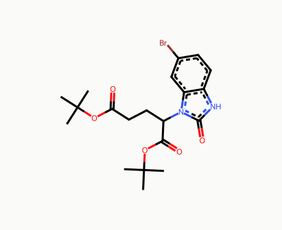 CC(C)(C)OC(=O)CCC(C(=O)OC(C)(C)C)n1c(=O)[nH]c2ccc(Br)cc21